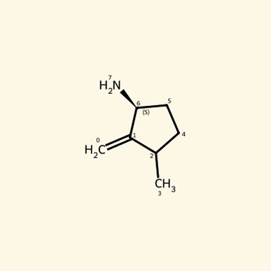 C=C1C(C)CC[C@@H]1N